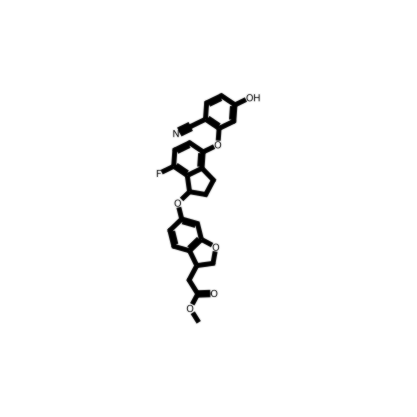 COC(=O)CC1COc2cc(OC3CCc4c(Oc5cc(O)ccc5C#N)ccc(F)c43)ccc21